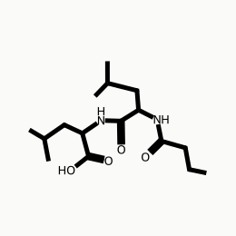 CCCC(=O)NC(CC(C)C)C(=O)NC(CC(C)C)C(=O)O